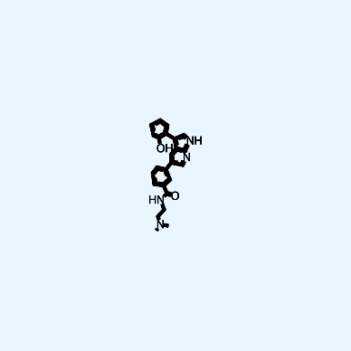 CN(C)CCNC(=O)c1cccc(-c2cnc3[nH]cc(-c4ccccc4O)c3c2)c1